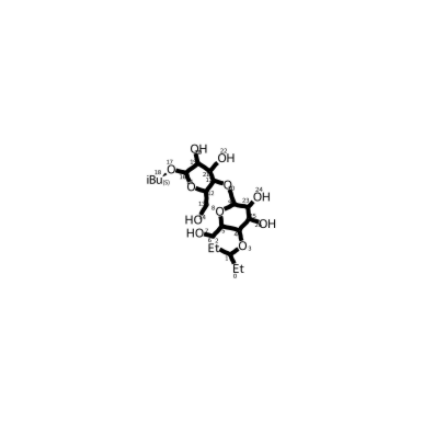 CCC(CC)OC1C(CO)OC(OC2C(CO)OC(O[C@@H](C)CC)C(O)C2O)C(O)C1O